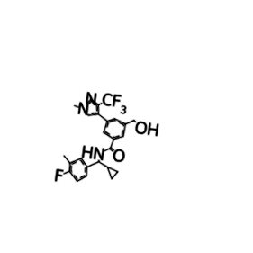 Cc1cc([C@@H](NC(=O)c2cc(CO)cc(-c3cn(C)nc3C(F)(F)F)c2)C2CC2)ccc1F